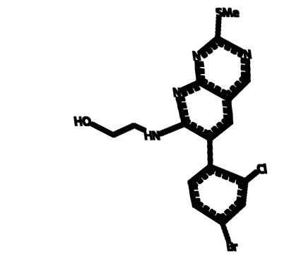 CSc1ncc2cc(-c3ccc(Br)cc3Cl)c(NCCO)nc2n1